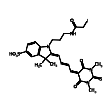 CN1C(=O)C(=C/C=C/C=C2/N(CCCNC(=O)CI)c3ccc(S(=O)(=O)O)cc3C2(C)C)C(=O)N(C)C1=S